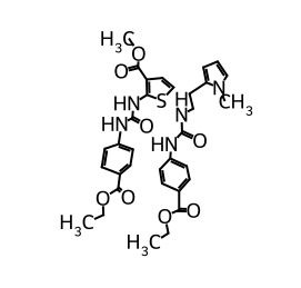 CCOC(=O)c1ccc(NC(=O)NCCc2cccn2C)cc1.CCOC(=O)c1ccc(NC(=O)Nc2sccc2C(=O)OC)cc1